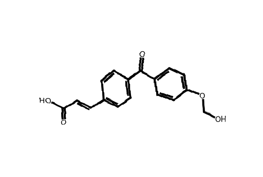 O=C(O)/C=C/c1ccc(C(=O)c2ccc(OCO)cc2)cc1